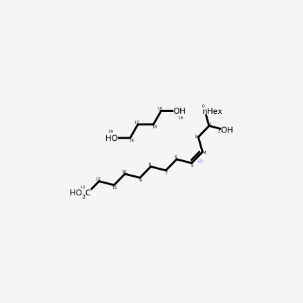 CCCCCCC(O)C/C=C\CCCCCCCC(=O)O.OCCCCO